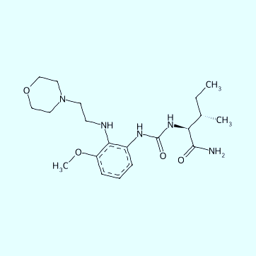 CC[C@H](C)[C@H](NC(=O)Nc1cccc(OC)c1NCCN1CCOCC1)C(N)=O